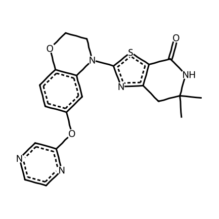 CC1(C)Cc2nc(N3CCOc4ccc(Oc5cnccn5)cc43)sc2C(=O)N1